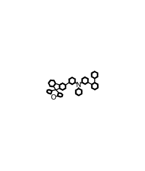 c1ccc(-c2ccccc2-c2cccc(N(c3ccccc3)c3cccc(-c4ccc5c(c4)-c4ccccc4C54c5ccccc5Oc5ccccc54)c3)c2)cc1